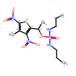 CCCNP(=O)(NCCBr)OC(C)c1sc([N+](=O)[O-])c(C)c1[N+](=O)[O-]